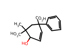 CC1(C(=O)O)CC(C(=O)O)(c2ccccc2)C=CC1O